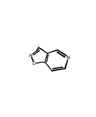 [c]1nccc2oncc12